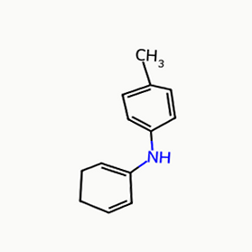 Cc1ccc(NC2=CCCC=C2)cc1